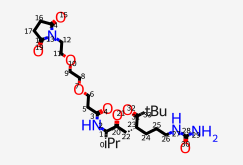 CC(C)C(NC(=O)CCOCCOCCN1C(=O)CCC1=O)C(=O)C[C@@H](CCCNC(N)=O)C(=O)C(C)(C)C